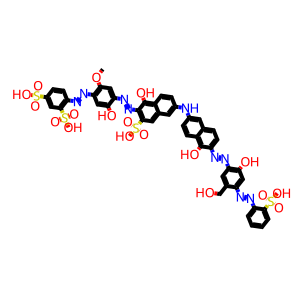 COc1cc(N=Nc2c(S(=O)(=O)O)cc3cc(Nc4ccc5c(O)c(N=Nc6cc(CO)c(N=Nc7ccccc7S(=O)(=O)O)cc6O)ccc5c4)ccc3c2O)c(O)cc1N=Nc1ccc(S(=O)(=O)O)cc1S(=O)(=O)O